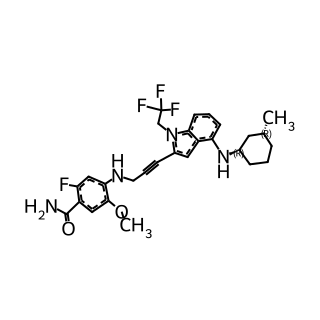 COc1cc(C(N)=O)c(F)cc1NCC#Cc1cc2c(N[C@@H]3CCC[C@@H](C)C3)cccc2n1CC(F)(F)F